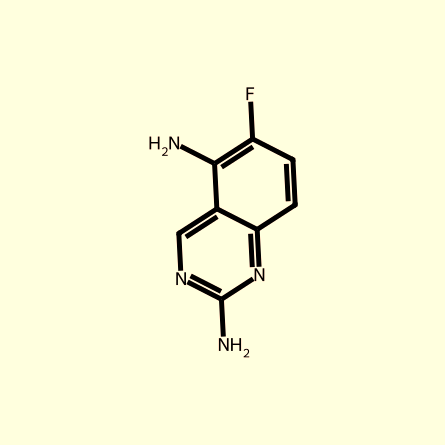 Nc1ncc2c(N)c(F)ccc2n1